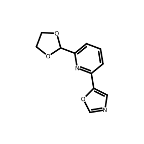 c1cc(-c2cnco2)nc(C2OCCO2)c1